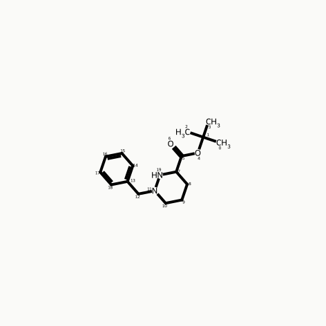 CC(C)(C)OC(=O)C1CCCN(Cc2ccccc2)N1